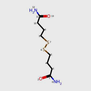 NC(=O)CCCSSCCCC(N)=O